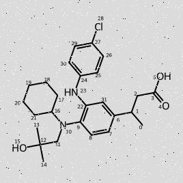 CC(CC(=O)O)c1ccc(N(CC(C)(C)O)C2CCCCC2)c(Nc2ccc(Cl)cc2)c1